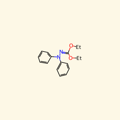 CCOC(=NN(c1ccccc1)c1ccccc1)OCC